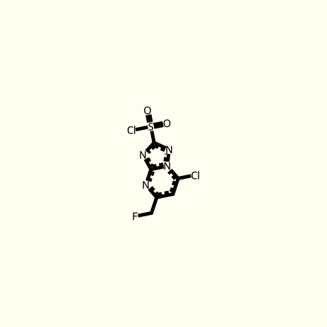 O=S(=O)(Cl)c1nc2nc(CF)cc(Cl)n2n1